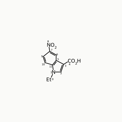 CCn1cc(C(=O)O)c2cc([N+](=O)[O-])ccc21